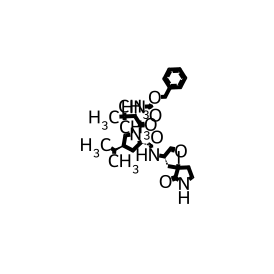 CC(C)[C@@H]1C[C@@H](C(=O)N[C@H](C=O)CC2(I)CCNC2=O)N(C(=O)[C@@H](NC(=O)OCc2ccccc2)C(C)(C)C)C1